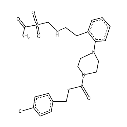 NC(=O)S(=O)(=O)CNCCc1ccccc1N1CCN(C(=O)[CH]Cc2ccc(Cl)cc2)CC1